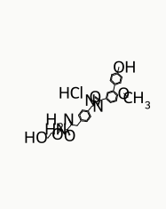 COc1ccc(-c2nc(-c3ccc(C[C@H](N)C(=O)NOCCO)cc3)no2)cc1-c1ccc(O)cc1.Cl